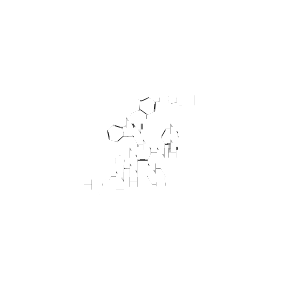 CCNC(=O)Nc1nc(-c2nn(Cc3c(F)cc(OCC)cc3F)c3ccccc23)nc(Nc2ccncn2)c1N1CCOCC1